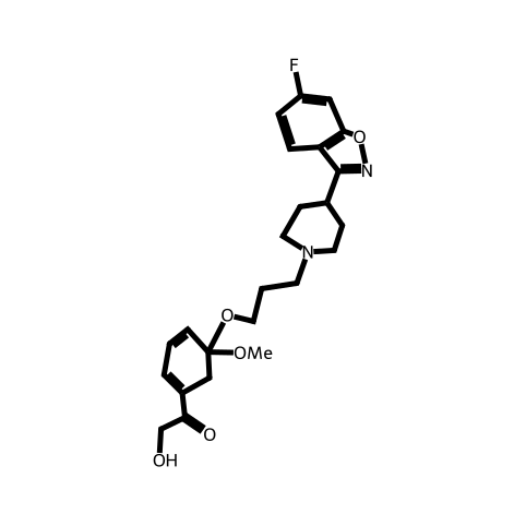 COC1(OCCCN2CCC(c3noc4cc(F)ccc34)CC2)C=CC=C(C(=O)CO)C1